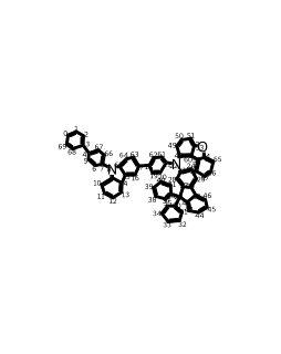 c1ccc(-c2ccc(-n3c4ccccc4c4cc(-c5ccc(N(c6ccc7c(c6)C(c6ccccc6)(c6ccccc6)c6ccccc6-7)c6cccc7oc8ccccc8c67)cc5)ccc43)cc2)cc1